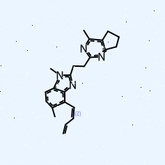 C=C/C=C\c1c(C)ccc2c1nc(CCc1nc(C)c3c(n1)CCC3)n2C